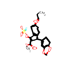 CCCOc1ccc2c(c1)C(OS(=O)(=O)F)=C(C(=O)OC)C2c1ccc2c(c1)OCO2